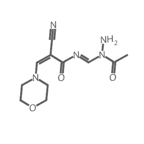 CC(=O)N(N)C=NC(=O)C(C#N)=CN1CCOCC1